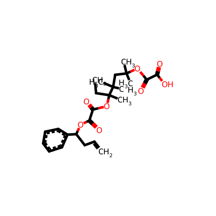 C=CCC(OC(=O)C(=O)OC(C)(CC)C(C)(C)CC(C)(C)OC(=O)C(=O)O)c1ccccc1